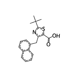 CC(C)(C)c1nc(Cc2cccc3ccccc23)c(C(=O)O)s1